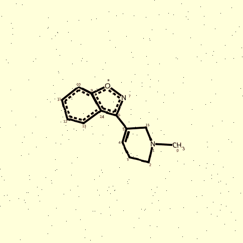 CN1CCC=C(c2noc3ccccc23)C1